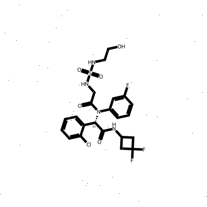 O=C(NC1CC(F)(F)C1)[C@H](c1ccccc1Cl)N(C(=O)CNS(=O)(=O)NCCO)c1cccc(F)c1